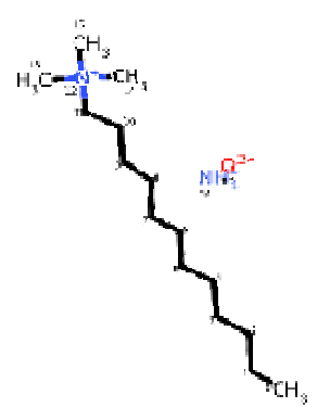 CCCCCCCCCCCC[N+](C)(C)C.[NH4+].[O-2]